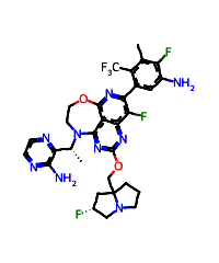 Cc1c(F)c(N)cc(-c2nc3c4c(nc(OCC56CCCN5C[C@H](F)C6)nc4c2F)N([C@H](C)c2nccnc2N)CCO3)c1C(F)(F)F